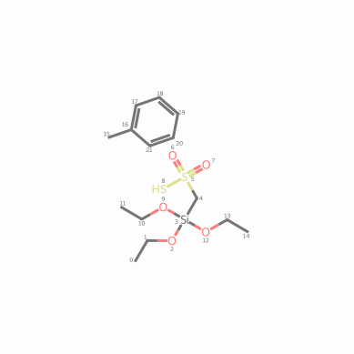 CCO[Si](CS(=O)(=O)S)(OCC)OCC.Cc1ccccc1